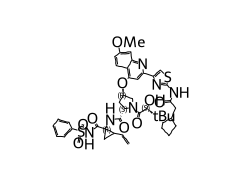 C=CC1C[C@]1(NC(=O)[C@@H]1C[C@@H](Oc2cc(-c3csc(NC(=O)CC4CCCC4)n3)nc3cc(OC)ccc23)CN1C(=O)[C@@H](O)C(C)(C)C)C(=O)NS(=O)(=O)c1ccccc1